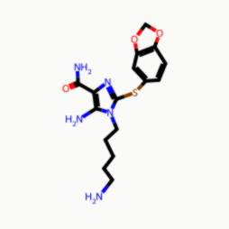 NCCCCCn1c(Sc2ccc3c(c2)OCO3)nc(C(N)=O)c1N